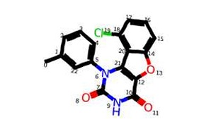 Cc1cccc(-n2c(=O)[nH]c(=O)c3oc4cccc(Cl)c4c32)c1